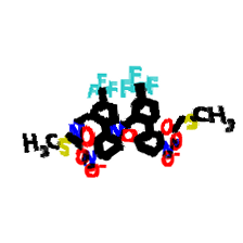 CSCCOc1c([N+](=O)[O-])ccc(Oc2ccc([N+](=O)[O-])c(OCCSC)c2-c2ccc(C(F)(F)F)cc2C#N)c1-c1ccc(C(F)(F)F)cc1C#N